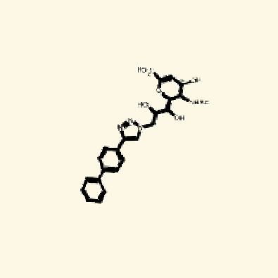 CC(=O)NC1C(C(O)C(O)Cn2cc(-c3ccc(-c4ccccc4)cc3)nn2)OC(C(=O)O)=C[C@H]1O